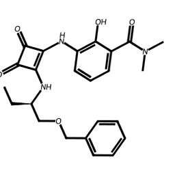 CC[C@H](COCc1ccccc1)Nc1c(Nc2cccc(C(=O)N(C)C)c2O)c(=O)c1=O